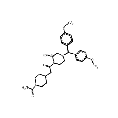 CC(C)(C)[C@H]1CN(C(c2ccc(OC(F)(F)F)cc2)c2ccc(OC(F)(F)F)cc2)CCN1C(=O)CC1CCN(C(N)=O)CC1